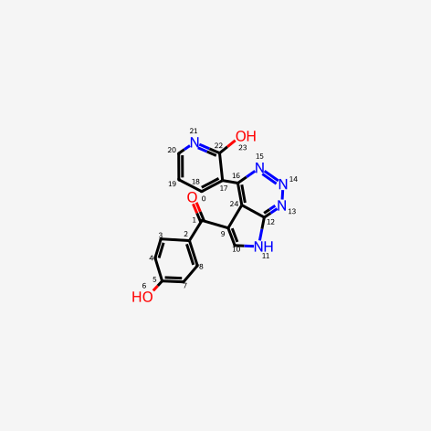 O=C(c1ccc(O)cc1)c1c[nH]c2nnnc(-c3cccnc3O)c12